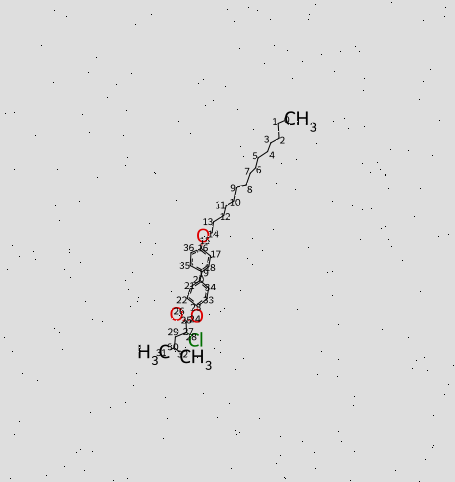 CCCCCCCCCCCCCCCOc1ccc(-c2ccc(OC(=O)C(Cl)CC(C)C)cc2)cc1